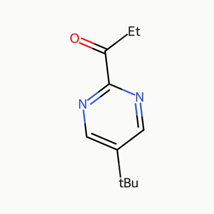 CCC(=O)c1ncc(C(C)(C)C)cn1